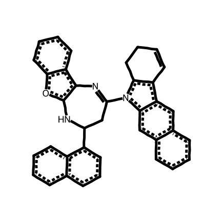 C1=Cc2c(n(C3=Nc4c(oc5ccccc45)NC(c4cccc5ccccc45)C3)c3cc4ccccc4cc23)CC1